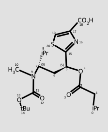 CC(C)CC(=O)O[C@@H](C[C@@H](C(C)C)N(C)C(=O)OC(C)(C)C)c1nc(C(=O)O)cs1